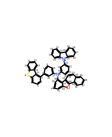 c1cc(-c2cccc3sc4ccccc4c23)cc(N(c2cccc(-n3c4ccccc4c4ccccc43)c2)c2cccc3oc4c5ccccc5ccc4c23)c1